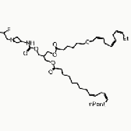 CC/C=C\C/C=C\C/C=C\CCCCCCCC(=O)OCC(COC(=O)CCCCCCC/C=C\C/C=C\CCCCC)COC(=O)NC1CN(CC(F)F)C1